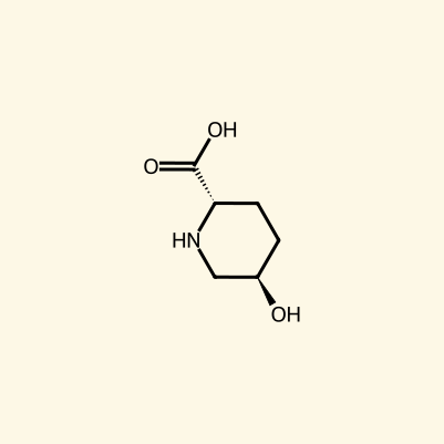 O=C(O)[C@@H]1CC[C@@H](O)CN1